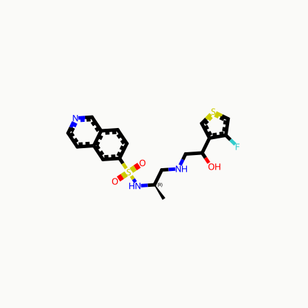 C[C@H](CNCC(O)c1cscc1F)NS(=O)(=O)c1ccc2cnccc2c1